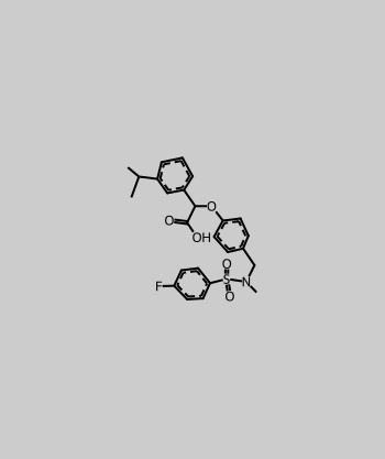 CC(C)c1cccc(C(Oc2ccc(CN(C)S(=O)(=O)c3ccc(F)cc3)cc2)C(=O)O)c1